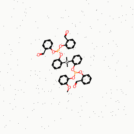 COc1ccccc1OP(Oc1ccccc1C=O)Oc1ccccc1[Si](C)(C)c1ccccc1OP(Oc1ccccc1C=O)Oc1ccccc1C=O